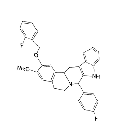 COc1cc2c(cc1OCc1ccccc1F)C1Cc3c([nH]c4ccccc34)C(c3ccc(F)cc3)N1CC2